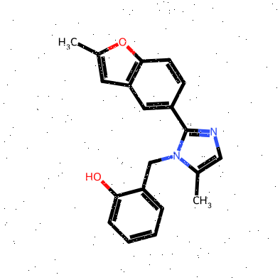 Cc1cc2cc(-c3ncc(C)n3Cc3ccccc3O)ccc2o1